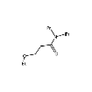 CCOCCC(=O)N(C(C)C)C(C)C